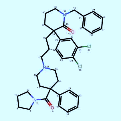 O=C(N1CCCC1)C1(c2ccccc2)CCN(CCCC2(c3ccc(Cl)c(Cl)c3)CCCN(Cc3ccccc3)C2=O)CC1